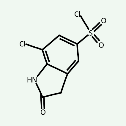 O=C1Cc2cc(S(=O)(=O)Cl)cc(Cl)c2N1